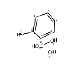 O=C(O)O.Sc1ccccc1.[CsH]